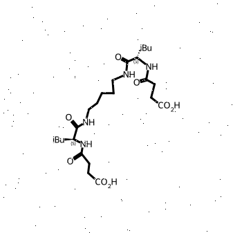 CCC(C)[C@H](NC(=O)CCC(=O)O)C(=O)NCCCCCNC(=O)[C@@H](NC(=O)CCC(=O)O)C(C)CC